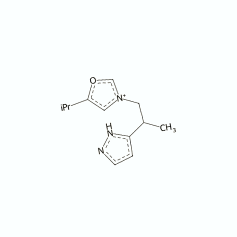 CC(C)c1c[n+](CC(C)c2ccn[nH]2)co1